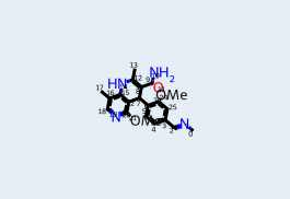 C/N=C/c1ccc(C2C(C(N)=O)=C(C)Nc3c(C)cnc(OC)c32)c(OC)c1